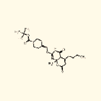 CCCCC1=CC(=O)OC2(C)N=C(ON=C3CCN(C(=O)OC(C)(C)C)CC3)NC(=O)C12